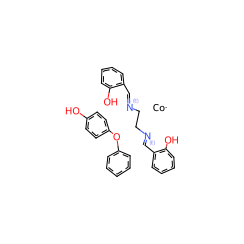 Oc1ccc(Oc2ccccc2)cc1.Oc1ccccc1/C=N/CC/N=C/c1ccccc1O.[Co]